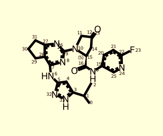 CC(C)c1cc(Nc2nc(N3CC(=O)C[C@H]3C(=O)Nc3ccc(F)nc3)nc3c2CCC3)n[nH]1